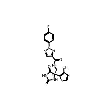 Cc1ncsc1[C@]1(CNC(=O)c2cnn(-c3ccc(F)cc3)n2)NC(=O)NC1=O